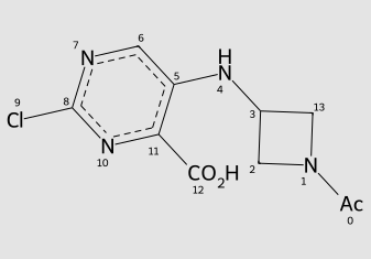 CC(=O)N1CC(Nc2cnc(Cl)nc2C(=O)O)C1